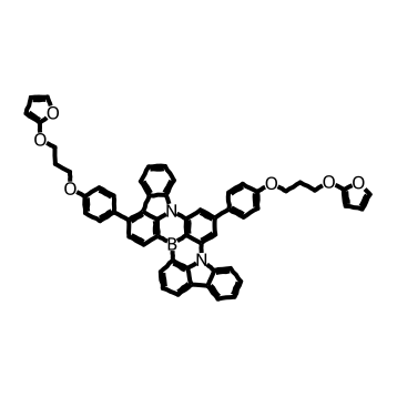 c1coc(OCCCOc2ccc(-c3cc4c5c(c3)-n3c6ccccc6c6c(-c7ccc(OCCCOc8ccco8)cc7)ccc(c63)B5c3cccc5c6ccccc6n-4c35)cc2)c1